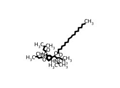 CCCCCCCCCCCCCCCCCC(=O)OC(c1ccc(OC(=O)CC(C)C)c(OC(=O)CC(C)C)c1)C(CCC)NC(C)(C)C